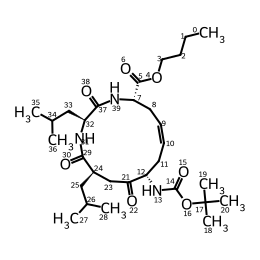 CCCCOC(=O)[C@@H]1CC=CC[C@H](NC(=O)OC(C)(C)C)C(=O)C[C@@H](CC(C)C)C(=O)N[C@@H](CC(C)C)C(=O)N1